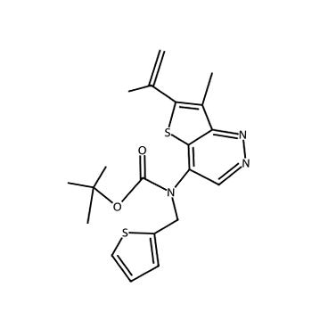 C=C(C)c1sc2c(N(Cc3cccs3)C(=O)OC(C)(C)C)cnnc2c1C